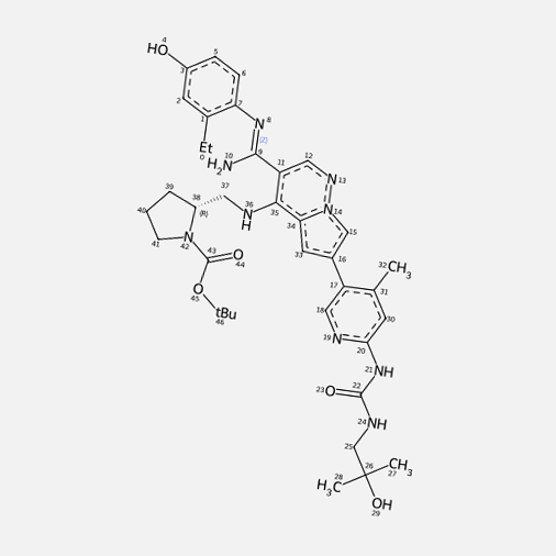 CCc1cc(O)ccc1/N=C(\N)c1cnn2cc(-c3cnc(NC(=O)NCC(C)(C)O)cc3C)cc2c1NC[C@H]1CCCN1C(=O)OC(C)(C)C